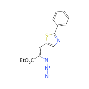 CCOC(=O)/C(=C/c1cnc(-c2ccccc2)s1)N=[N+]=[N-]